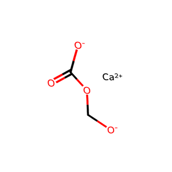 O=C([O-])OC[O-].[Ca+2]